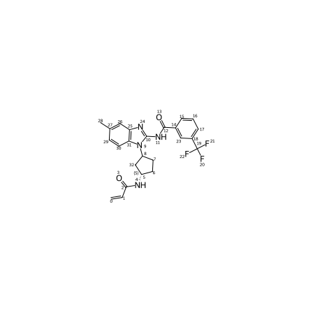 C=CC(=O)N[C@H]1CCC(n2c(NC(=O)c3cccc(C(F)(F)F)c3)nc3cc(C)ccc32)C1